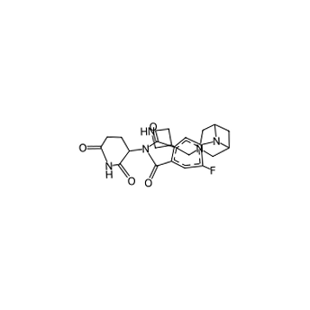 O=C1CCC(N2C(=O)c3cc(F)c(N4C5CC4CN(CC4CNC4)C5)cc3C2=O)C(=O)N1